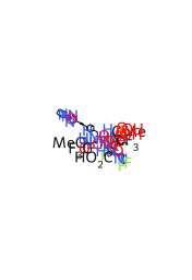 COC(=O)N[C@H](C(=O)N[C@@H](Cc1ccc(C#Cc2cnc(N3CC4CCC(C3)N4C3COC3)nc2)cc1)[C@H](CN(Cc1c(F)cc(-c2ccn(C(F)F)n2)cc1F)NC(=O)[C@@H](NC(=O)OC)C(C)(C)C(F)(F)F)OC(=O)CC(C)(C)c1c(CC(=O)NCC(=O)O)cc(C)cc1OP(=O)(O)O)C(C)(C)C(F)(F)F